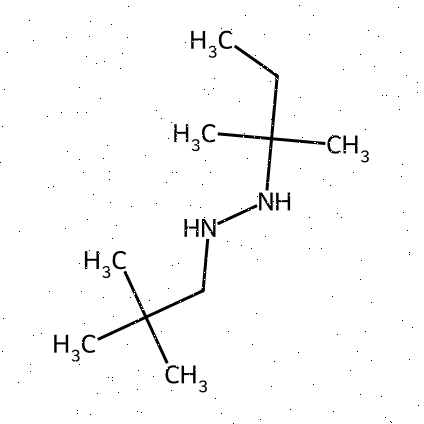 CCC(C)(C)NNCC(C)(C)C